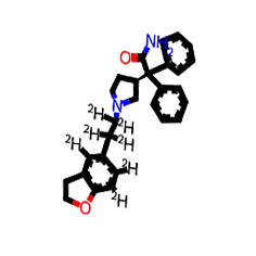 [2H]c1c([2H])c(C([2H])([2H])C([2H])([2H])N2CC[C@@H](C(C(N)=O)(c3ccccc3)c3ccccc3)C2)c([2H])c2c1OCC2